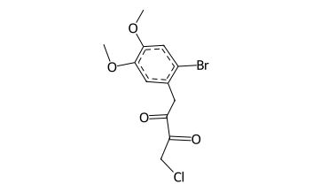 COc1cc(Br)c(CC(=O)C(=O)CCl)cc1OC